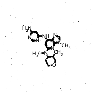 CC1COCCC1N(C)c1cc(Nc2cc(N)ncn2)c2ncn(C)c2n1